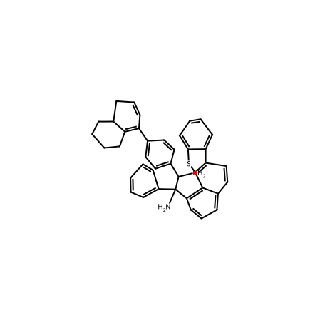 NC(c1ccc(C2=C3CCCCC3CC=C2)cc1)C(N)(c1ccccc1)c1cccc2ccc3c4ccccc4sc3c12